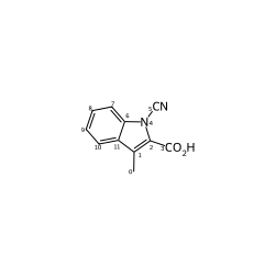 Cc1c(C(=O)O)n(C#N)c2ccccc12